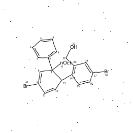 CCCCCCCCC1(c2ccccc2)C=C(Br)C=CC1c1ccc(Br)cc1CO